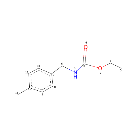 CCOC(=O)NCc1ccc(C)cc1